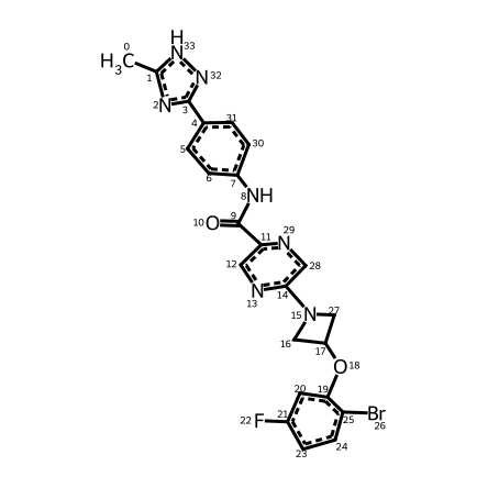 Cc1nc(-c2ccc(NC(=O)c3cnc(N4CC(Oc5cc(F)ccc5Br)C4)cn3)cc2)n[nH]1